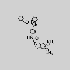 COc1cc2c(cc1OC)CN(CC(=O)Nc1ccc(-c3nc4ccccn4c3COCc3ccccc3)cc1)CC2